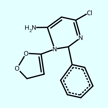 NC1=CC(Cl)=NC(c2ccccc2)N1C1=CCOO1